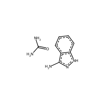 NC(N)=O.Nc1n[nH]c2ccccc12